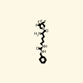 NC(CCCCNC(=O)NCc1ccccc1)C(=O)N1CC(F)(F)C(F)(F)C1